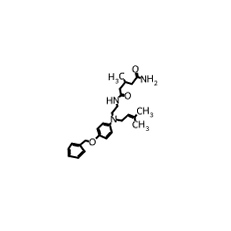 CC(C)=CCN(CCNC(=O)CC(C)CC(N)=O)c1ccc(OCc2ccccc2)cc1